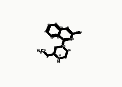 CCC1CN(c2nc(Br)cc3ccccc23)CCN1